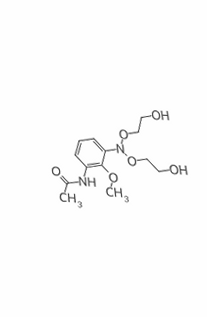 COc1c(NC(C)=O)cccc1N(OCCO)OCCO